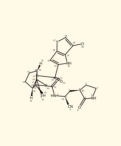 N#C[C@H](C[C@H]1CCNC1=O)NC(=O)[C@@H]1[C@@H]2CC[C@@H](CC2(F)F)N1C(=O)c1cc2scc(Cl)c2[nH]1